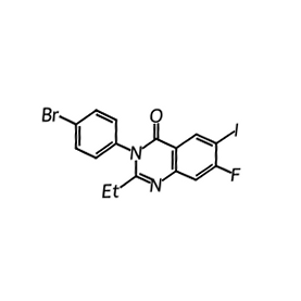 CCc1nc2cc(F)c(I)cc2c(=O)n1-c1ccc(Br)cc1